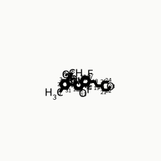 Cc1ccc(S(C)(=O)=O)c(-c2cc(=O)c3c(F)c(CCC4CCOCC4)c(F)cc3[nH]2)c1